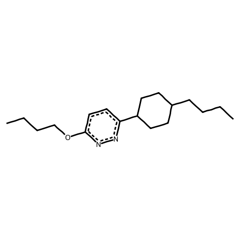 CCCCOc1ccc(C2CCC(CCCC)CC2)nn1